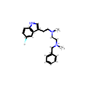 CN(CCc1c[nH]c2ccc(F)cc12)CCN(C)Cc1ccccc1